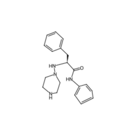 O=C(Nc1ccccc1)[C@H](Cc1ccccc1)NN1CCNCC1